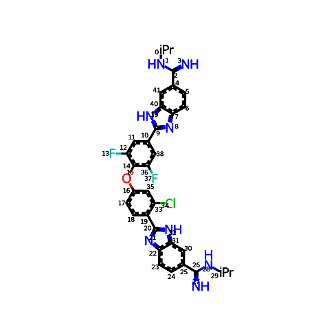 CC(C)NC(=N)c1ccc2nc(-c3cc(F)c(Oc4ccc(-c5nc6ccc(C(=N)NC(C)C)cc6[nH]5)c(Cl)c4)c(F)c3)[nH]c2c1